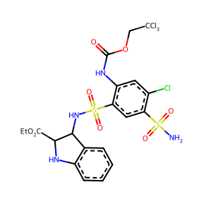 CCOC(=O)C1Nc2ccccc2C1NS(=O)(=O)c1cc(S(N)(=O)=O)c(Cl)cc1NC(=O)OCC(Cl)(Cl)Cl